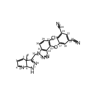 CC12C=CC=NC1NN=C2Cn1nnc2c(Oc3cc(C#N)cc(C#N)c3)c(Cl)ccc21